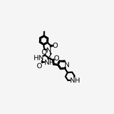 Cc1ccc2c(c1)C(=O)N(C[C@@]1(c3cc4cc(C5CCNCC5)ncc4o3)NC(=O)NC1=O)C2